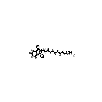 C=CCCCCCCCCCN1C(=O)c2ccccc2C1=O